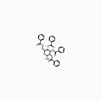 O=C(OCC1O[C@@H](O)C(OC(=O)c2ccccc2)C(OC(=O)c2ccccc2)[C@H]1OC(=O)c1ccccc1)c1ccccc1